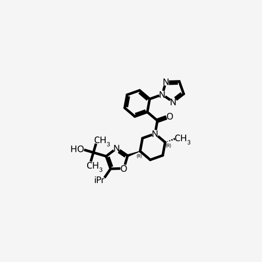 CC(C)c1oc([C@@H]2CC[C@@H](C)N(C(=O)c3ccccc3-n3nccn3)C2)nc1C(C)(C)O